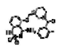 Cc1ccccc1C(=O)N1CCC[C@H](COc2cccc3c2C(N)=NS(=O)(=O)N3)C1